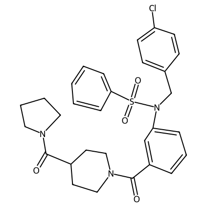 O=C(c1cccc(N(Cc2ccc(Cl)cc2)S(=O)(=O)c2ccccc2)c1)N1CCC(C(=O)N2CCCC2)CC1